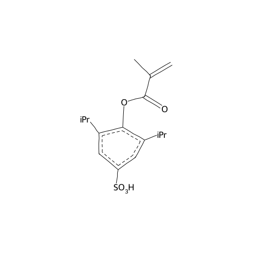 C=C(C)C(=O)Oc1c(C(C)C)cc(S(=O)(=O)O)cc1C(C)C